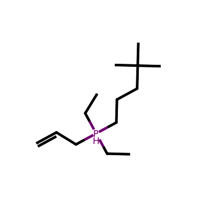 C=CC[PH](CC)(CC)CCCC(C)(C)C